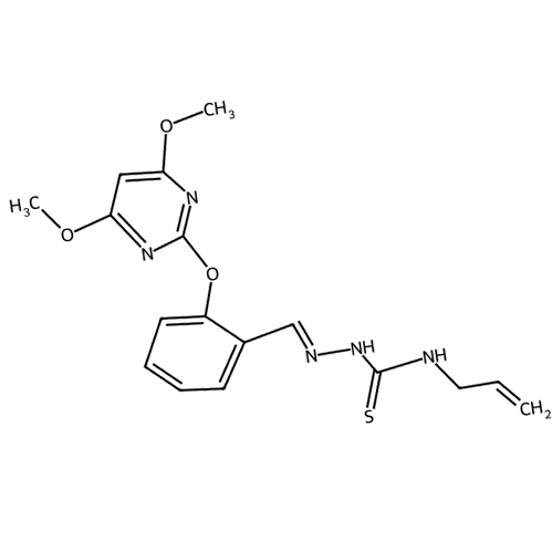 C=CCNC(=S)NN=Cc1ccccc1Oc1nc(OC)cc(OC)n1